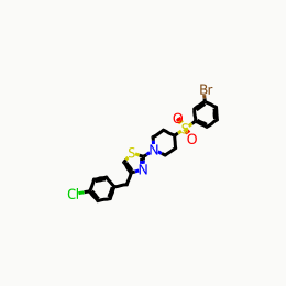 O=S(=O)(c1cccc(Br)c1)C1CCN(c2nc(Cc3ccc(Cl)cc3)cs2)CC1